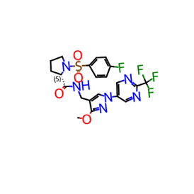 COc1nn(-c2cnc(C(F)(F)F)nc2)cc1CNC(=O)[C@@H]1CCCN1S(=O)(=O)c1ccc(F)cc1